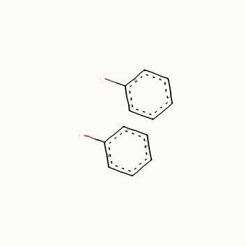 Brc1ccccc1.Brc1ccccc1